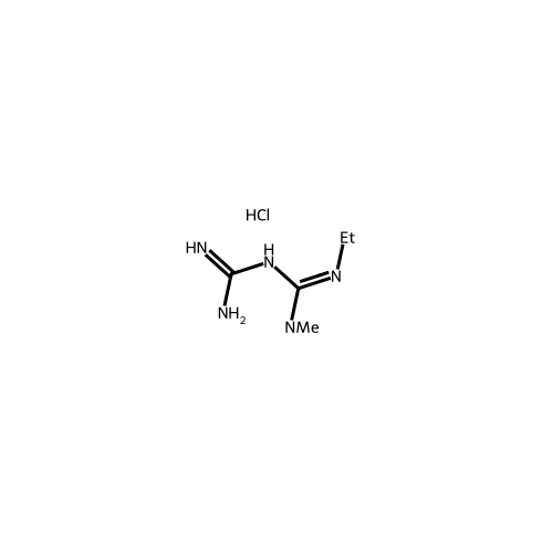 CCN=C(NC)NC(=N)N.Cl